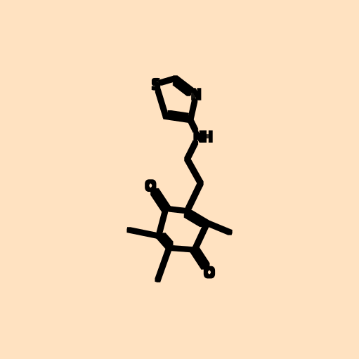 CC1=C(C)C(=O)C(CCNc2cscn2)=C(C)C1=O